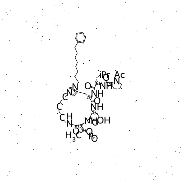 CC(=O)N1CCC[C@H]1C(=O)N[C@@H](CC(C)C)C(=O)N[C@H]1Cc2c[n+](cn2CCCCCCCCc2ccccc2)CCCCCCNC(=O)[C@H]([C@@H](C)OP=O)NC(=O)[C@H](CO)NC1=O